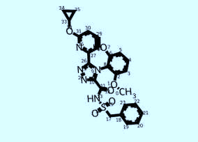 COc1cccc(O)c1-n1c(C(=O)NS(=O)(=O)Cc2ccccc2)nnc1-c1c#ccc(OC2CC2)n1